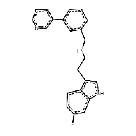 Fc1ccc2c(CCNCc3cccc(-c4cccnc4)c3)c[nH]c2c1